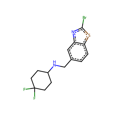 FC1(F)CCC(NCc2ccc3sc(Br)nc3c2)CC1